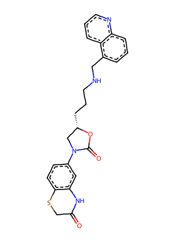 O=C1CSc2ccc(N3C[C@H](CCCNCc4cccc5ncccc45)OC3=O)cc2N1